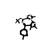 Cc1ccc(C2=N[C@@H](CC(C)(C)C)c3nnc(C)n3-c3sc(C)c(C)c32)cc1